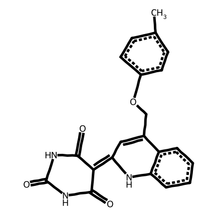 Cc1ccc(OCC2=CC(=C3C(=O)NC(=O)NC3=O)Nc3ccccc32)cc1